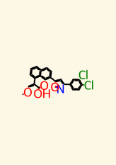 COC=C(C(=O)O)c1cccc2ccc(-c3cc(-c4ccc(Cl)c(Cl)c4)no3)cc12